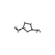 NC1CC[C@H](N=O)C1